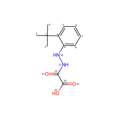 CC(C)(C)c1ccccc1NNC(=O)C(=O)O